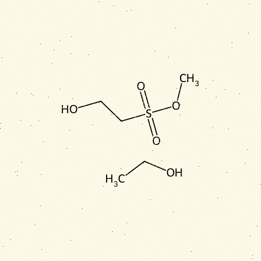 CCO.COS(=O)(=O)CCO